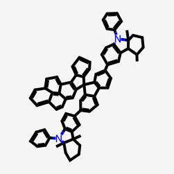 CC1CCCC2(C)C1c1cc(-c3ccc4c(c3)C3(c5cc(-c6ccc7c(c6)C6(C)CCCCC6(C)N7c6ccccc6)ccc5-4)c4ccccc4-c4c3cc3ccc5cccc6ccc4c3c56)ccc1N2c1ccccc1